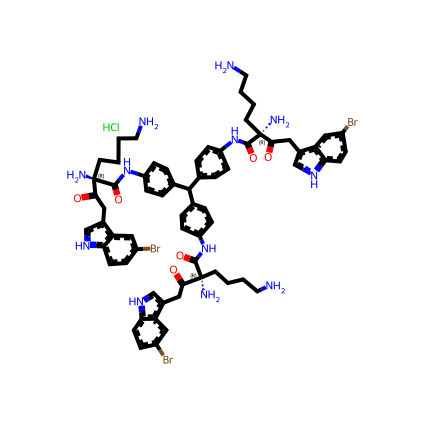 Cl.NCCCC[C@@](N)(C(=O)Cc1c[nH]c2ccc(Br)cc12)C(=O)Nc1ccc(C(c2ccc(NC(=O)[C@@](N)(CCCCN)C(=O)Cc3c[nH]c4ccc(Br)cc34)cc2)c2ccc(NC(=O)[C@@](N)(CCCCN)C(=O)Cc3c[nH]c4ccc(Br)cc34)cc2)cc1